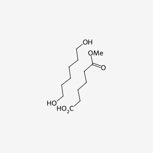 COC(=O)CCCCC(=O)O.OCCCCCCO